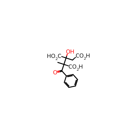 CC(C(=O)O)(C(=O)c1ccccc1)C(O)(CC(=O)O)C(=O)O